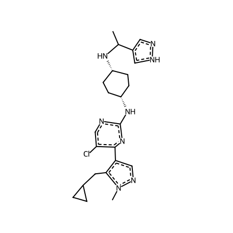 CC(N[C@H]1CC[C@@H](Nc2ncc(Cl)c(-c3cnn(C)c3CC3CC3)n2)CC1)c1cn[nH]c1